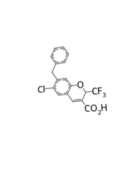 O=C(O)C1=Cc2cc(Cl)c(Cc3ccccc3)cc2OC1C(F)(F)F